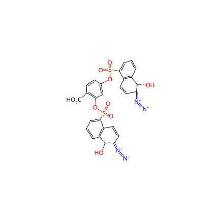 [N-]=[N+]=C1C=Cc2c(cccc2S(=O)(=O)Oc2ccc(C(=O)O)c(OS(=O)(=O)c3cccc4c3C=CC(=[N+]=[N-])C4O)c2)C1O